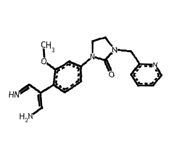 COc1cc(N2CCN(Cc3ccccn3)C2=O)ccc1/C(C=N)=C/N